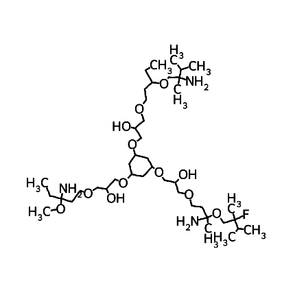 CCC(CCOCC(O)COC1CC(OCC(O)COCCC(C)(N)OCC(C)(F)C(C)C)CC(OCC(O)COCCC(N)(CC)OC)C1)OCC(C)(N)C(C)C